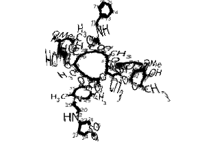 CON=C1C[C@@H](C)O[C@@H](O[C@@H]2[C@@H](C)[C@H](O[C@H]3CC(C)N(CCNC4CCS(=O)(=O)C4)C[C@H](C)O3)[C@@H](C)C(=O)O[C@H]([C@@H](C)CO[C@@H]3O[C@H](C)[C@@H](O)[C@@H](OC)[C@H]3OC)[C@H](C)[C@@H](OC(=O)CC(C)C)[C@@H](C)C(=O)[C@@](C)(OC(=O)NCc3ccccc3)C[C@@H]2C)[C@@H]1O